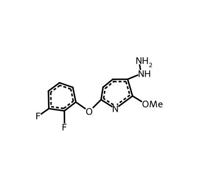 COc1nc(Oc2cccc(F)c2F)ccc1NN